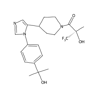 CC(C)(O)c1ccc(-n2cncc2C2CCN(C(=O)[C@@](C)(O)C(F)(F)F)CC2)cc1